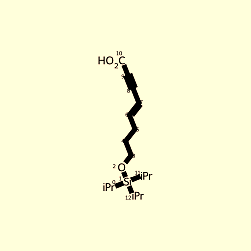 CC(C)[Si](OCCCC=CC#CC(=O)O)(C(C)C)C(C)C